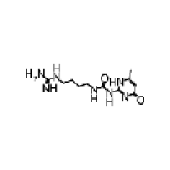 Cc1cc(=O)nc(NC(=O)NCCCCNC(=N)N)[nH]1